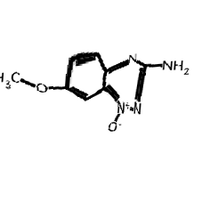 COc1ccc2nc(N)n[n+]([O-])c2c1